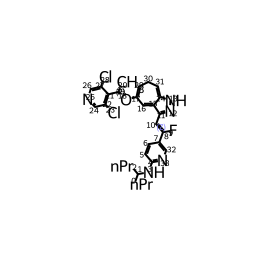 CCCC(CCC)Nc1ccc(/C(F)=C/c2n[nH]c3c2=CC(O[C@H](C)c2c(Cl)cncc2Cl)=CCC=3)cn1